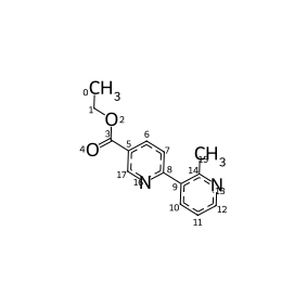 CCOC(=O)c1ccc(-c2cccnc2C)nc1